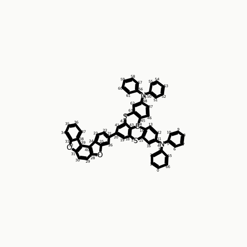 c1ccc(N(c2ccccc2)c2ccc3c(c2)Sc2cc(-c4ccc5c(c4)oc4ccc6oc7ccccc7c6c45)cc4c2B3c2ccc(N(c3ccccc3)c3ccccc3)cc2S4)cc1